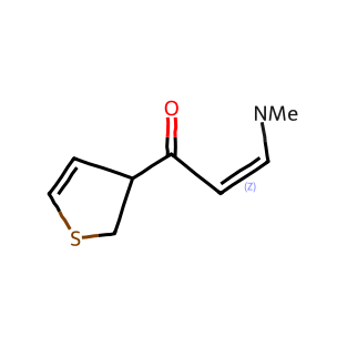 CN/C=C\C(=O)C1C=CSC1